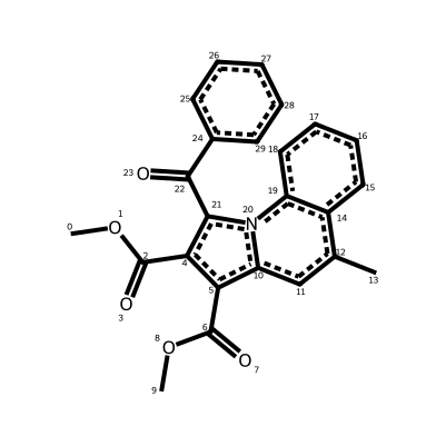 COC(=O)c1c(C(=O)OC)c2cc(C)c3ccccc3n2c1C(=O)c1ccccc1